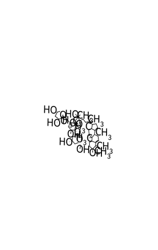 C[C@H](CC[C@@H](O[C@@H]1O[C@H](CO[C@H]2OC[C@@H](O)C[C@H]2O)C[C@H](O)[C@H]1O[C@H]1C[C@@H](O)C[C@@H](CO)O1)C(C)(C)O)C1CC[C@@]2(C)C3CC=C4C(CC[C@H](O)C4(C)C)[C@]3(C)CC[C@]12C